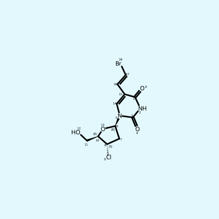 O=c1[nH]c(=O)n([C@H]2C[C@H](Cl)[C@@H](CO)O2)cc1C=CBr